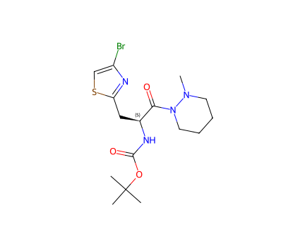 CN1CCCCN1C(=O)[C@H](Cc1nc(Br)cs1)NC(=O)OC(C)(C)C